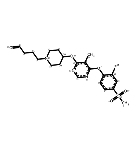 Cc1c(Oc2ccc(S(C)(=O)=O)cc2F)ncnc1OC1CCN(CCCC=O)CC1